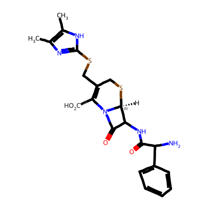 Cc1nc(SCC2=C(C(=O)O)N3C(=O)C(NC(=O)C(N)c4ccccc4)[C@@H]3SC2)[nH]c1C